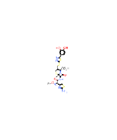 CCO/N=C(\C(=O)NC1C(=O)N2C(C(=O)O)=C(CSc3nnc(-c4ccc(O)c(O)c4)s3)CS[C@@H]12)c1csc(N)n1